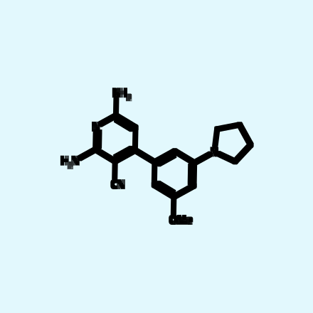 COc1cc(-c2cc(N)nc(N)c2C#N)cc(N2CCCC2)c1